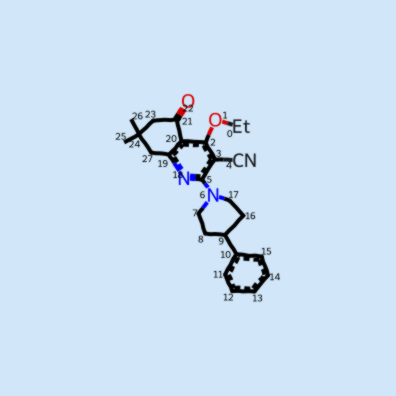 CCOc1c(C#N)c(N2CCC(c3ccccc3)CC2)nc2c1C(=O)CC(C)(C)C2